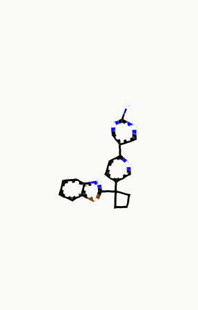 Nc1ncc(-c2ccc(C3(c4nc5ccccc5s4)CCC3)cn2)cn1